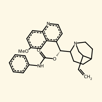 C=CC1CN2CCC1CCC2[C@H](OC(=O)Nc1ccccc1)c1ccnc2ccc(OC)cc12